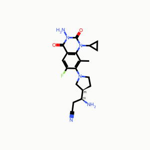 Cc1c(N2CC[C@@H]([C@@H](N)CC#N)C2)c(F)cc2c(=O)n(N)c(=O)n(C3CC3)c12